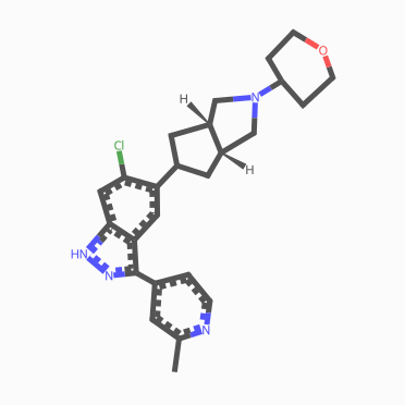 Cc1cc(-c2n[nH]c3cc(Cl)c(C4C[C@@H]5CN(C6CCOCC6)C[C@@H]5C4)cc23)ccn1